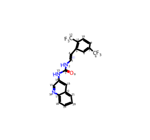 O=C(N/C=C/c1cc(C(F)(F)F)ccc1C(F)(F)F)Nc1cnc2ccccc2c1